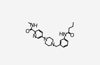 CCCC(=O)Nc1cccc(CN2CCN(c3ccc(C(=O)NC)nc3)CC2)c1